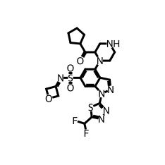 O=C(C1CCCC1)C1CNCCN1c1cc(S(=O)(=O)N=C2COC2)cc2c1cnn2-c1nnc(C(F)F)s1